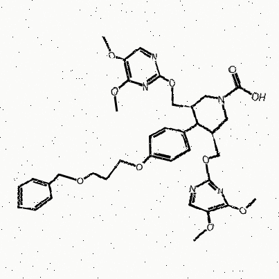 COc1cnc(OC[C@@H]2CN(C(=O)O)C[C@H](COc3ncc(OC)c(OC)n3)C2c2ccc(OCCCOCc3ccccc3)cc2)nc1OC